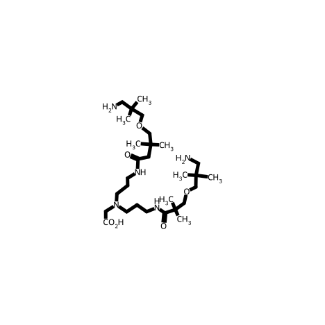 CC(C)(CN)COCC(C)(C)CC(=O)NCCCN(CCCNC(=O)C(C)(C)COCC(C)(C)CN)CC(=O)O